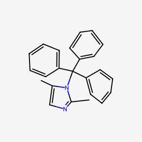 Cc1cnc(C)n1C(c1ccccc1)(c1ccccc1)c1ccccc1